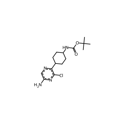 CC(C)(C)OC(=O)NC1CCC(c2ncc(N)nc2Cl)CC1